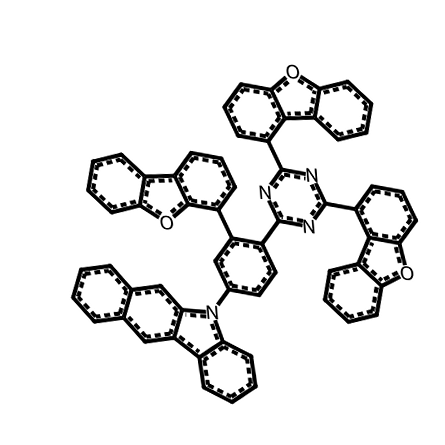 c1ccc2cc3c(cc2c1)c1ccccc1n3-c1ccc(-c2nc(-c3cccc4oc5ccccc5c34)nc(-c3cccc4oc5ccccc5c34)n2)c(-c2cccc3c2oc2ccccc23)c1